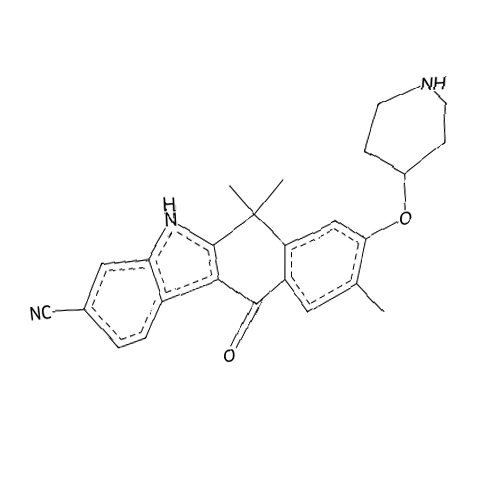 Cc1cc2c(cc1OC1CCNCC1)C(C)(C)c1[nH]c3cc(C#N)ccc3c1C2=O